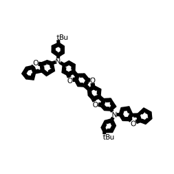 CC(C)(C)c1ccc(N(c2ccc3c(c2)oc2ccccc23)c2ccc3c(c2)oc2cc4c(cc23)oc2cc3c(cc24)oc2cc(N(c4ccc(C(C)(C)C)cc4)c4ccc5c(c4)oc4ccccc45)ccc23)cc1